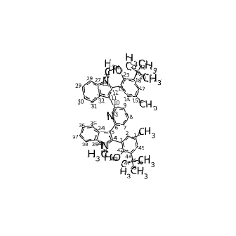 Cc1cc(-c2c(-c3cccc(-c4c(-c5cc(C)cc(C(C)(C)C)c5O)n(C)c5ccccc45)n3)c3ccccc3n2C)c(O)c(C(C)(C)C)c1